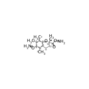 Cc1c(C)c2c(c(C)c1ON)CC[C@@](C)(C(=O)ON)O2